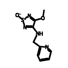 COc1n[s+]([O-])nc1NCc1ccccn1